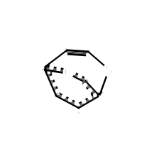 C1=Cc2ccc(cc2)S1